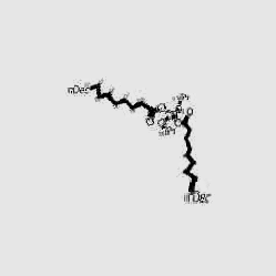 CCCCCCCCCCCCCCCCCC(=O)[O][Ti]([O]C(=O)CCCCCCCCCCCCCCCCC)([O]C(C)C)[O]C(C)C